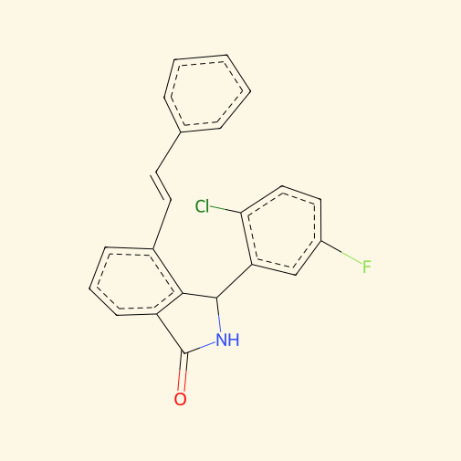 O=C1NC(c2cc(F)ccc2Cl)c2c(/C=C/c3ccccc3)cccc21